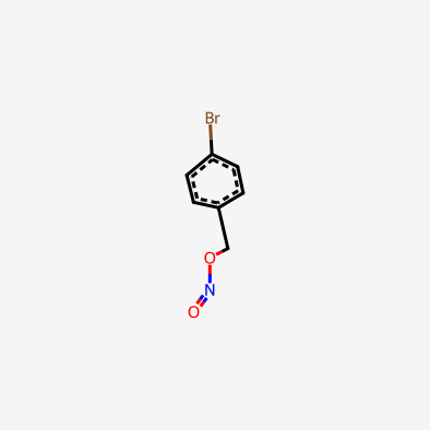 O=NOCc1ccc(Br)cc1